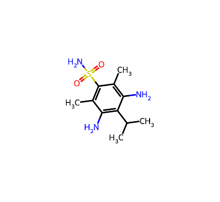 Cc1c(N)c(C(C)C)c(N)c(C)c1S(N)(=O)=O